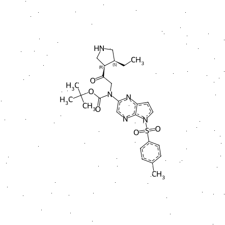 CC[C@@H]1CNC[C@@H]1C(=O)CN(C(=O)OC(C)(C)C)c1cnc2c(ccn2S(=O)(=O)c2ccc(C)cc2)n1